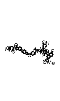 CCc1c(F)ccc2cc(OCOC)cc(-c3ncc4c(N5CCC[C@@](C)(O)C5)nc(OCC5(CN6CCC(OC7CC8(CCN(c9ccc%10c(c9)CN(C9CCC(=O)NC9=O)C%10=O)CC8)C7)CC6)CC5)nc4c3F)c12